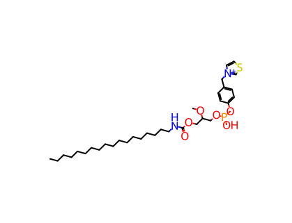 CCCCCCCCCCCCCCCCCCNC(=O)OCC(COP(O)Oc1ccc(C[n+]2ccsc2)cc1)OC